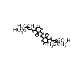 CC(C)(CCCC1CCCC(CCC2CCCC(CCCC(C)(C)C(=O)O)C2=O)C1=O)C(=O)O